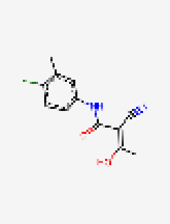 C/C(O)=C(\C#N)C(=O)Nc1ccc(F)c(C)c1